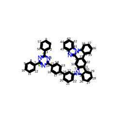 c1ccc(-c2nc(-c3ccccc3)nc(-c3ccc(-c4cccc(-n5c6ccccc6c6cc7c8ccccc8n8c9ccccc9nc8c7cc65)c4)cc3)n2)cc1